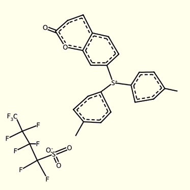 Cc1ccc([S+](c2ccc(C)cc2)c2ccc3ccc(=O)oc3c2)cc1.O=S(=O)([O-])C(F)(F)C(F)(F)C(F)(F)C(F)(F)F